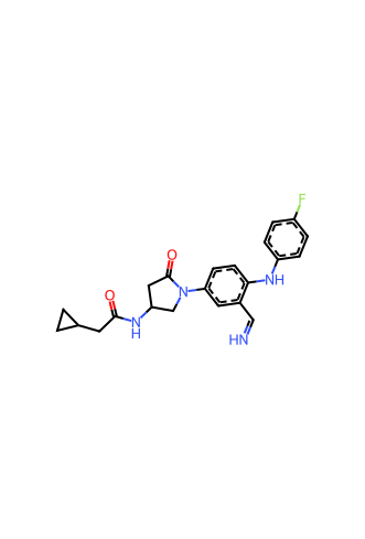 N=Cc1cc(N2CC(NC(=O)CC3CC3)CC2=O)ccc1Nc1ccc(F)cc1